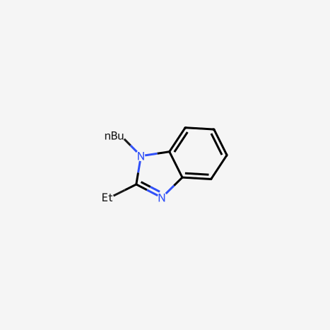 CCCCn1c(CC)nc2ccccc21